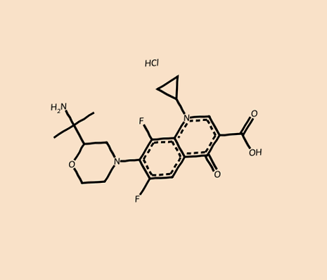 CC(C)(N)C1CN(c2c(F)cc3c(=O)c(C(=O)O)cn(C4CC4)c3c2F)CCO1.Cl